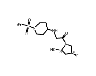 CC(C)S(=O)(=O)N1CCC(NCC(=O)N2C[C@@H](F)C[C@H]2C#N)CC1